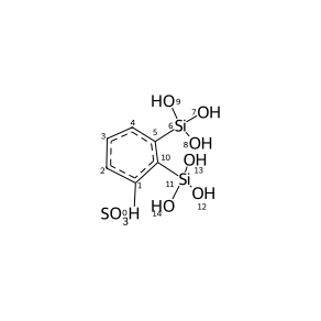 O=S(=O)(O)c1cccc([Si](O)(O)O)c1[Si](O)(O)O